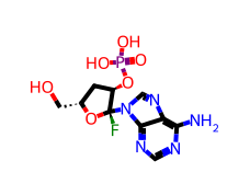 Nc1ncnc2c1ncn2[C@]1(F)O[C@H](CO)C[C@H]1OP(=O)(O)O